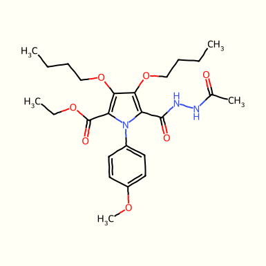 CCCCOc1c(OCCCC)c(C(=O)OCC)n(-c2ccc(OC)cc2)c1C(=O)NNC(C)=O